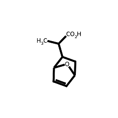 CC(C(=O)O)C1CC2C=CC1O2